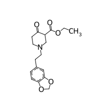 CCOC(=O)C1CN(CCc2ccc3c(c2)OCO3)CCC1=O